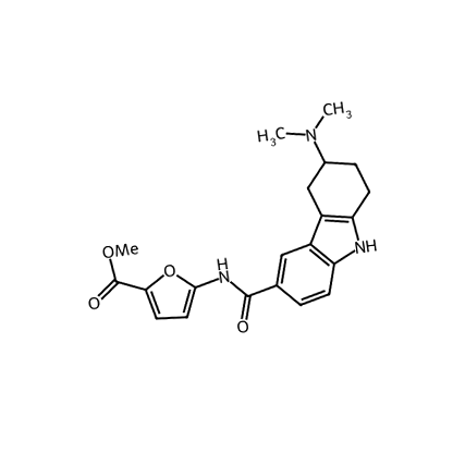 COC(=O)c1ccc(NC(=O)c2ccc3[nH]c4c(c3c2)CC(N(C)C)CC4)o1